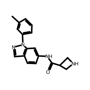 Cc1cccc(-n2ncc3ccc(NC(=O)C4CNC4)cc32)c1